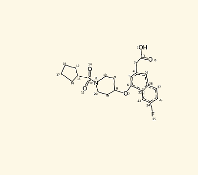 O=C(O)Cc1cc(OC2CCN(S(=O)(=O)C3CCCC3)CC2)c2cc(F)ccc2c1